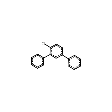 Clc1ccc(-c2ccccc2)cc1-c1ccccc1